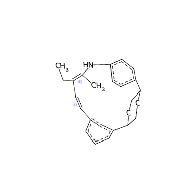 CCC1=C(/C)Nc2ccc(cc2)C2CCC(CC2)c2cccc(c2)/C=C\1